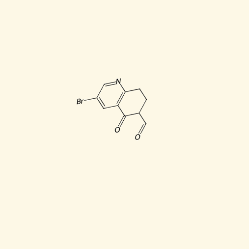 O=CC1CCc2ncc(Br)cc2C1=O